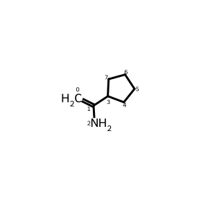 C=C(N)C1CCCC1